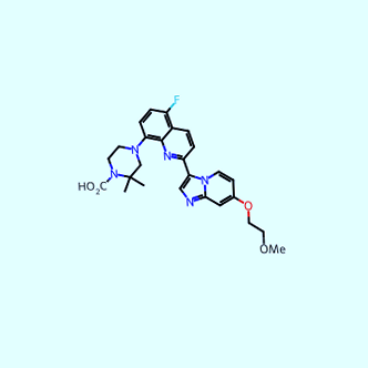 COCCOc1ccn2c(-c3ccc4c(F)ccc(N5CCN(C(=O)O)C(C)(C)C5)c4n3)cnc2c1